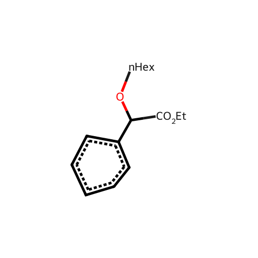 CCCCCCOC(C(=O)OCC)c1ccccc1